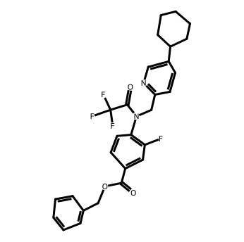 O=C(OCc1ccccc1)c1ccc(N(Cc2ccc(C3CCCCC3)cn2)C(=O)C(F)(F)F)c(F)c1